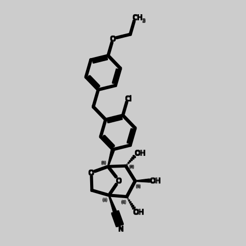 CCOc1ccc(Cc2cc([C@]34OC[C@](C#N)(O3)[C@@H](O)[C@H](O)[C@H]4O)ccc2Cl)cc1